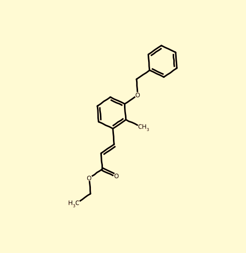 CCOC(=O)C=Cc1cccc(OCc2ccccc2)c1C